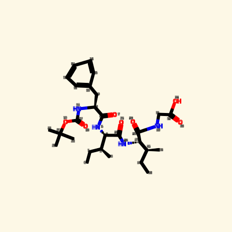 CC[C@H](C)[C@H](NC(=O)[C@H](Cc1ccccc1)NC(=O)OC(C)(C)C)C(=O)N[C@H](C(=O)NCC(=O)O)[C@@H](C)CC